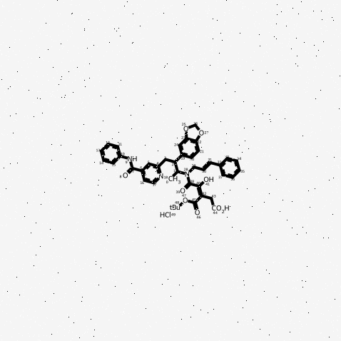 CC(C(Cc1cc(C(=O)Nc2ccccc2)ccn1)c1ccc2c(c1)OCO2)N(CC=Cc1ccccc1)C(=O)C(O)=C(CC(=O)O)C(=O)OC(C)(C)C.Cl